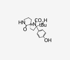 CC(C)(C)C1(c2ccc(O)cc2)CC[C@]2(CCCNC2=O)N1C(=O)O